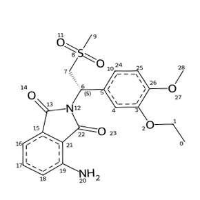 CCOc1cc([C@@H](CS(C)(=O)=O)N2C(=O)c3cccc(N)c3C2=O)ccc1OC